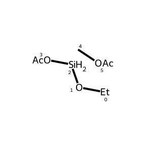 CCO[SiH2]OC(C)=O.COC(C)=O